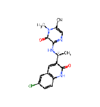 C[C@H](Nc1ncc(C#N)n(C)c1=O)c1cc2cc(Cl)ccc2[nH]c1=O